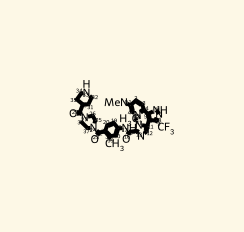 CNc1ccc(-c2[nH]nc(C(F)(F)F)c2-c2cnc(C(=O)Nc3ccc(C(=O)N4CCN(C(=O)C5CCNCC5)CC4)c(C)c3)n2C)nc1